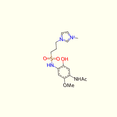 COc1cc(NS(=O)(=O)CCCn2cc[n+](C)c2)c(O)cc1NC(C)=O